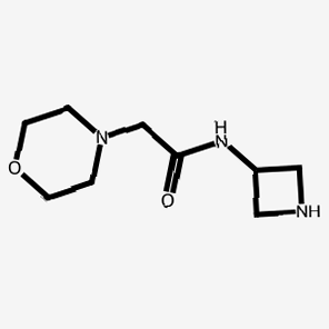 O=C(CN1CCOCC1)NC1CNC1